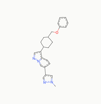 Cn1cc(-c2ccc3c(C4CCC(COc5ccccc5)CC4)cnn3c2)cn1